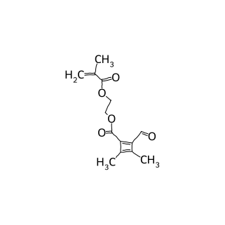 C=C(C)C(=O)OCCOC(=O)C1=C(C=O)C(C)=C1C